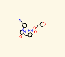 N#Cc1cccc(-n2ccc(=O)c(Cc3cccc(NC(=O)OCCC4CCOCC4)c3)n2)c1